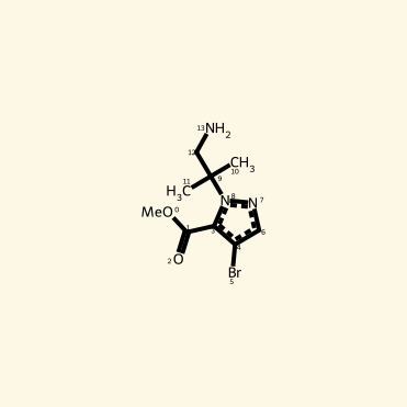 COC(=O)c1c(Br)cnn1C(C)(C)CN